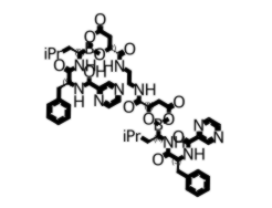 CC(C)C[C@H](NC(=O)[C@H](Cc1ccccc1)NC(=O)c1cnccn1)B1OC(=O)C[C@H](C(=O)NCCNC(=O)[C@H]2CC(=O)OB([C@H](CC(C)C)NC(=O)[C@H](Cc3ccccc3)NC(O)c3cnccn3)O2)O1